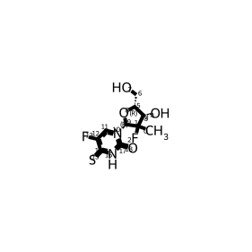 CC1(F)[C@@H](O)[C@@H](CO)O[C@H]1n1cc(F)c(=S)[nH]c1=O